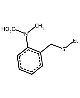 CCSCc1ccccc1N(C)C(=O)O